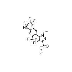 CCOC(=O)c1nn(CC)c(-c2ccc(N[C@H](C)C(F)(F)F)cc2C(F)(F)F)c1Cl